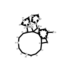 OC1(Cn2cncn2)c2c(F)cc(F)c3c2C(CCCCCCCCCC1n1cncn1)C3